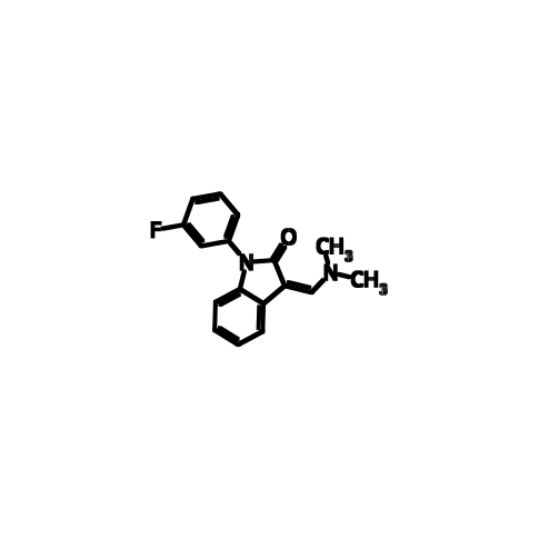 CN(C)C=C1C(=O)N(c2cccc(F)c2)c2ccccc21